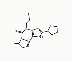 CCCN1C(=O)N2C(=NCC2C)c2[nH]c(C3CCCC3)nc21